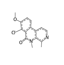 COc1ccc2c(c1Cl)c(=O)n(C)c1c(C)nccc21